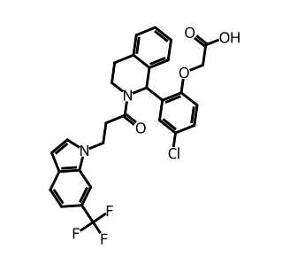 O=C(O)COc1ccc(Cl)cc1C1c2ccccc2CCN1C(=O)CCn1ccc2ccc(C(F)(F)F)cc21